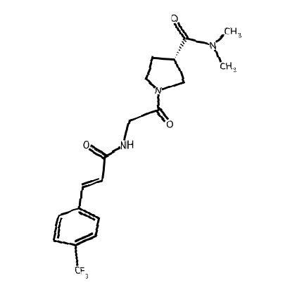 CN(C)C(=O)[C@H]1CCN(C(=O)CNC(=O)/C=C/c2ccc(C(F)(F)F)cc2)C1